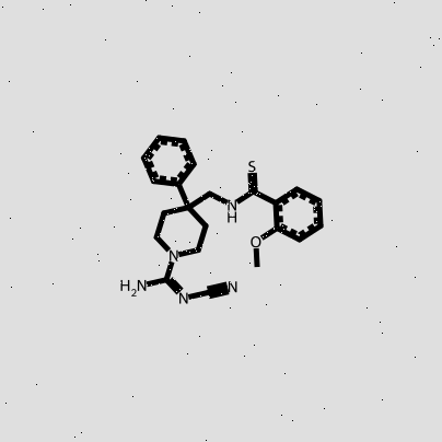 COc1ccccc1C(=S)NCC1(c2ccccc2)CCN(/C(N)=N\C#N)CC1